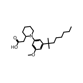 CCCCCCC(C)(C)c1cc(OC)cc(N2CCCCC2CC(=O)O)c1